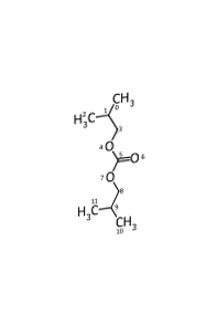 CC(C)[CH]OC(=O)OCC(C)C